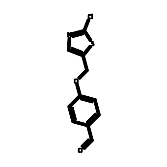 O=Cc1ccc(OCc2cnc(Cl)s2)cc1